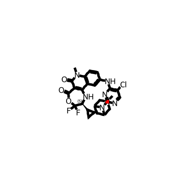 CN1CC2CC(C1)N2c1ncc(Cl)c(Nc2ccc3c(c2)c2c(c(=O)n3C)C(=O)OC(F)(F)[C@H](C3CC3)N2)n1